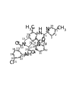 Cc1ccc(C(=O)Nc2c(C)cc(CN3C(=O)c4ccc(Cl)cc4NC(=O)C3Cc3ccccn3)cc2C)nc1